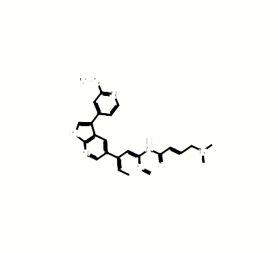 C=N/C(=C\C(=C/C)c1cnc2[nH]cc(-c3ccnc(NC)c3)c2c1)NC(=O)/C=C/CN(C)C